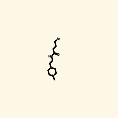 CC(=O)CCCC(=O)NCCN1CCN(C)CC1